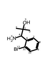 CC(C)(O)C(N)c1ccccc1Br